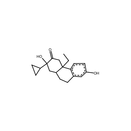 CCC12CC(=O)C(O)(C3CC3)CC1CCc1cc(O)ccc12